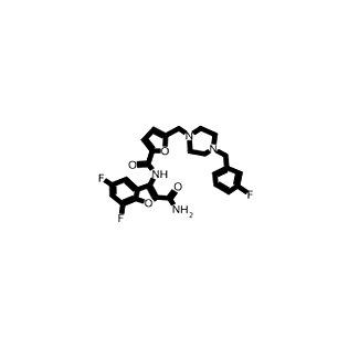 NC(=O)c1oc2c(F)cc(F)cc2c1NC(=O)c1ccc(CN2CCN(Cc3cccc(F)c3)CC2)o1